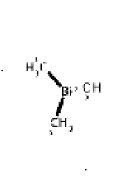 Cl.[CH3][Bi][CH3]